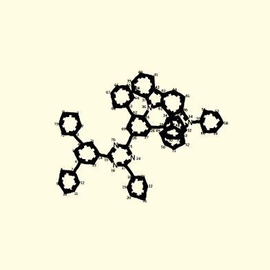 c1ccc(-c2cc(-c3ccccc3)cc(-c3nc(-c4ccccc4)nc(-c4cc(-c5ccccc5)c(-n5c6ccccc6c6ccc7c(c8ccccc8n7-c7ccccc7)c65)c(-c5ccccc5)c4)n3)c2)cc1